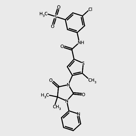 Cc1sc(C(=O)Nc2cc(Cl)cc(S(C)(=O)=O)c2)cc1N1C(=O)N(c2ccccn2)C(C)(C)C1=O